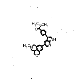 CN1Cc2cc(-c3cnc4[nH]cc(-c5ccc(C(=O)N(C)C)cc5)c4c3)cc3c2C(COC3)C1